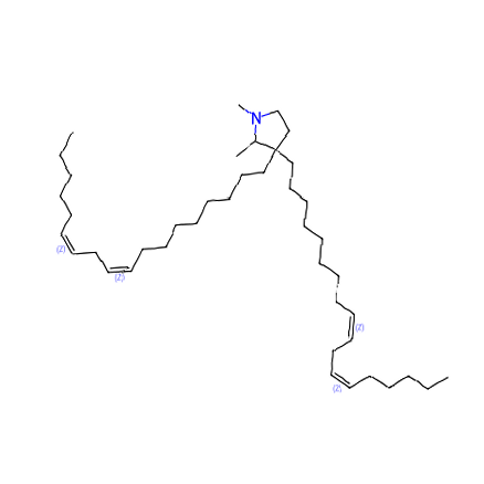 CCCCC/C=C\C/C=C\CCCCCCCCC1(CCCCCCCC/C=C\C/C=C\CCCCC)CCN(C)C1C